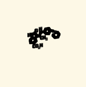 C/C(Nc1ccc(CN2CCCCC2)cc1)=C1/C(=O)Nc2ccc(C(=O)O)cc21